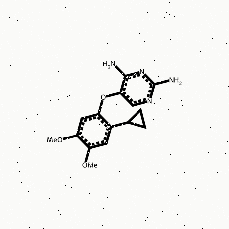 COc1cc(Oc2cnc(N)nc2N)c(C2CC2)cc1OC